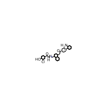 Nc1ccccc1N1CCN(C(=O)Cc2ccc(/C=N/NC(=O)c3ccc(O)c(Cl)c3)c3ccccc23)CC1